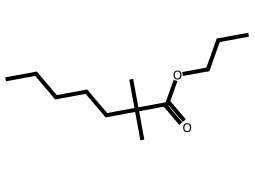 CCCCCC(C)(C)C(=O)OCCC